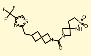 O=C(N1CC2(CC(Cc3nc(C(F)(F)F)cs3)C2)C1)N1CC2(CCS(=O)(=O)N2)C1